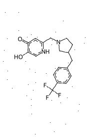 O=c1cc(CN2CCC(Cc3ccc(C(F)(F)F)cc3)C2)[nH]cc1O